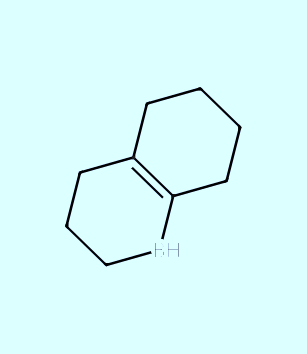 B1CCCC2=C1CCCC2